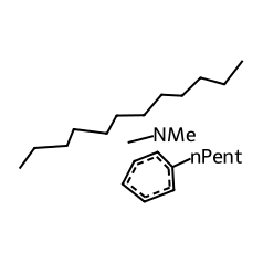 CCCCCCCCCCCC.CCCCCc1ccccc1.CNC